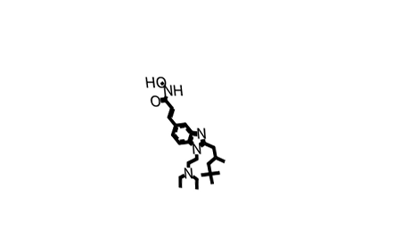 CCN(CC)CCn1c(CC(C)CC(C)(C)C)nc2cc(C=CC(=O)NO)ccc21